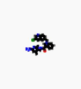 Cc1cc(N)nc(C)c1CNC(=O)c1cn(Cc2ccc3ncc(Cl)cc3c2)c2ccccc12